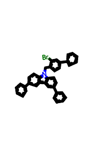 Brc1cc(-c2ccccc2)ccc1Cn1c2ccc(-c3ccccc3)cc2c2cc(-c3ccccc3)ccc21